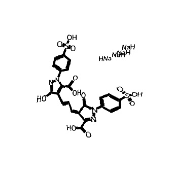 O=C(O)C1=NN(c2ccc(S(=O)(=O)O)cc2)C(=O)C1=CC=Cc1c(O)nn(-c2ccc(S(=O)(=O)O)cc2)c1C(=O)O.[NaH].[NaH].[NaH].[NaH]